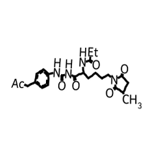 CCC(=O)NC(CCCCN1C(=O)CC(C)C1=O)C(=O)NC(=O)Nc1ccc(CC(C)=O)cc1